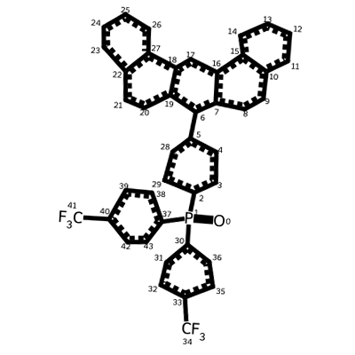 O=P(c1ccc(-c2c3ccc4ccccc4c3cc3c2ccc2ccccc23)cc1)(c1ccc(C(F)(F)F)cc1)c1ccc(C(F)(F)F)cc1